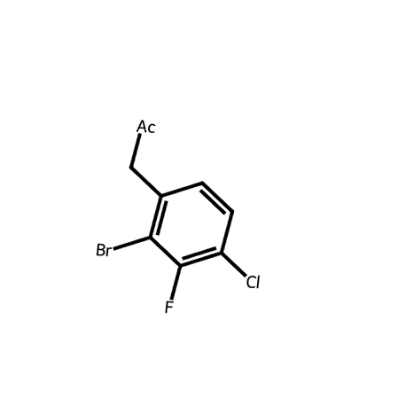 CC(=O)Cc1ccc(Cl)c(F)c1Br